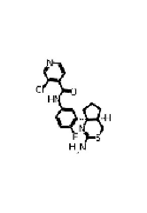 NC1=N[C@@]2(c3cc(NC(=O)c4ccncc4Cl)ccc3F)CCC[C@H]2CS1